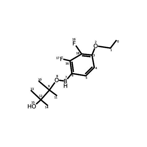 CCOc1ccc(BOC(C)(C)C(C)(C)O)c(F)c1F